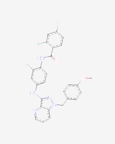 COc1ccc(Cn2nc(Nc3ccc(NC(=O)c4ccc(F)cc4Cl)c(Cl)c3)c3ncccc32)cc1